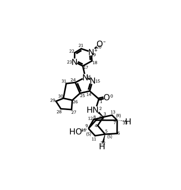 O=C(N[C@@]12C[C@@H]3C[C@@H](C[C@@](O)(C3)C1)C2)c1nn(-c2c[n+]([O-])ccn2)c2c1C1CCCC1C2